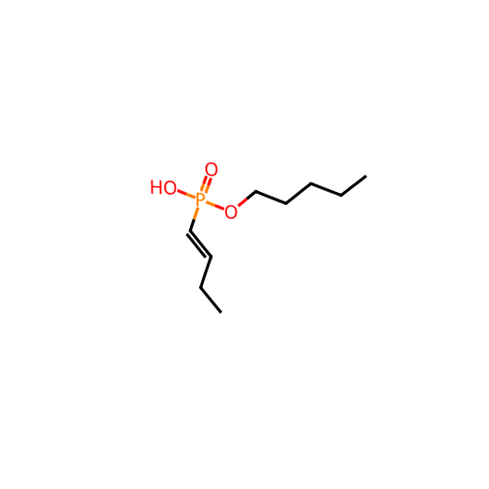 CCC=CP(=O)(O)OCCCCC